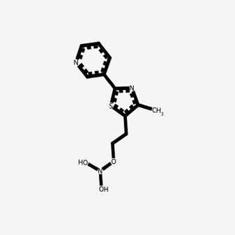 Cc1nc(-c2cccnc2)sc1CCON(O)O